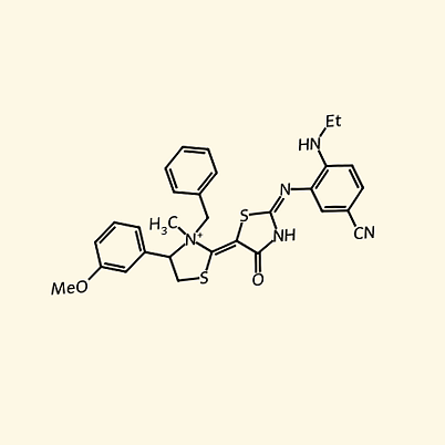 CCNc1ccc(C#N)cc1N=C1NC(=O)C(=C2SCC(c3cccc(OC)c3)[N+]2(C)Cc2ccccc2)S1